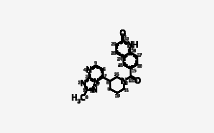 Cc1nc2nccc(C3CCCN(C(=O)c4ccc5[nH]c(=O)ccc5c4)C3)n2n1